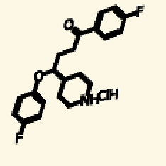 Cl.O=C(CCC(Oc1ccc(F)cc1)C1CCNCC1)c1ccc(F)cc1